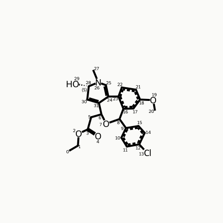 CCOC(=O)CC1OC(c2ccc(Cl)cc2)c2cc(OC)ccc2C2=CN(C)[C@@H](O)C=C21